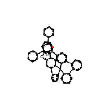 c1ccc(-c2nc(-c3ccccc3)nc(-c3ccc4c(c3)C3(c5ccccc5-c5ccccc5-4)c4ccccc4-c4cc5oc6ccccc6c5cc43)n2)cc1